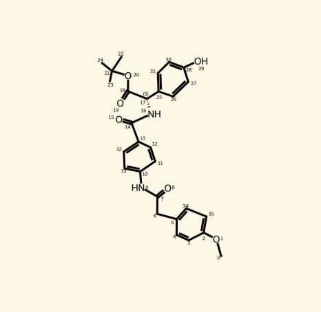 COc1ccc(CC(=O)Nc2ccc(C(=O)N[C@H](C(=O)OC(C)(C)C)c3ccc(O)cc3)cc2)cc1